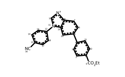 CCOC(=O)c1ccc(-c2ccc3ncn(-c4ccc(C#N)cc4)c3c2)cc1